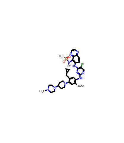 CCN(c1c(Nc2nc(Nc3cc(CC4CC4)c(N4CCC(N5CCN(C)CC5)CC4)cc3OC)ncc2Br)ccc2nccnc12)S(C)(=O)=O